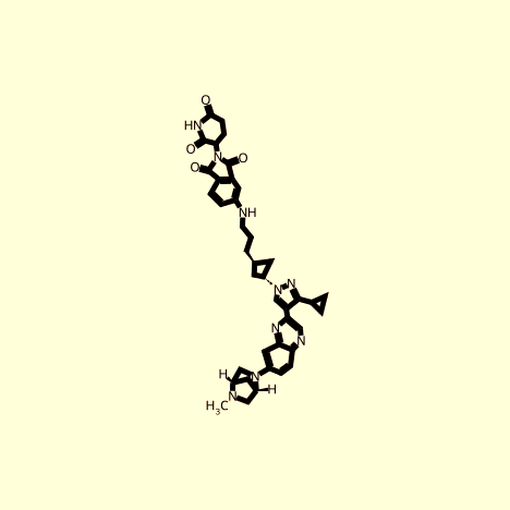 CN1C[C@@H]2C[C@H]1CN2c1ccc2ncc(-c3cn([C@H]4C[C@H](CCCNc5ccc6c(c5)C(=O)N(C5CCC(=O)NC5=O)C6=O)C4)nc3C3CC3)nc2c1